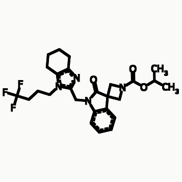 CC(C)OC(=O)N1CC2(C1)C(=O)N(Cc1nc3c(n1CCCC(F)(F)F)CCCC3)c1ccccc12